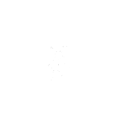 Cc1cc(=O)n2nc(C3(C(C)(C)C)CCCCN3C(=O)O)cc2[nH]1